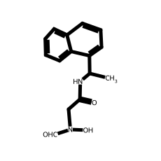 CC(NC(=O)CN(O)C=O)c1cccc2ccccc12